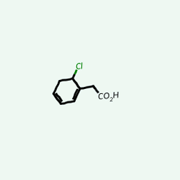 O=C(O)CC1=CC=CCC1Cl